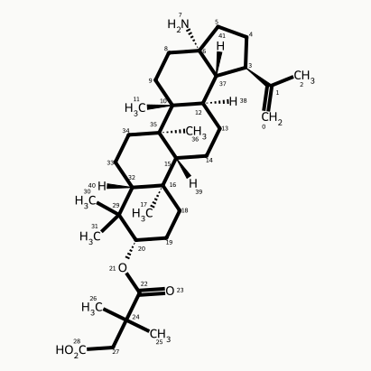 C=C(C)[C@@H]1CC[C@]2(N)CC[C@]3(C)[C@H](CC[C@@H]4[C@@]5(C)CC[C@H](OC(=O)C(C)(C)CC(=O)O)C(C)(C)[C@@H]5CC[C@]43C)[C@@H]12